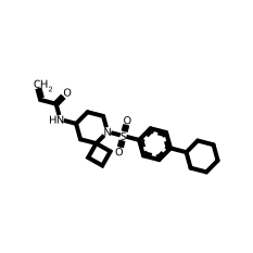 C=CC(=O)NC1CCN(S(=O)(=O)c2ccc(C3CCCCC3)cc2)C2(CCC2)C1